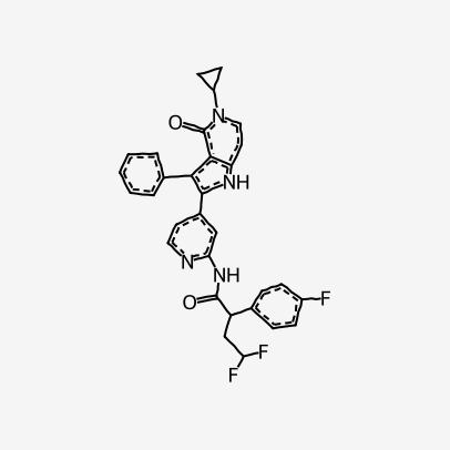 O=C(Nc1cc(-c2[nH]c3ccn(C4CC4)c(=O)c3c2-c2ccccc2)ccn1)C(CC(F)F)c1ccc(F)cc1